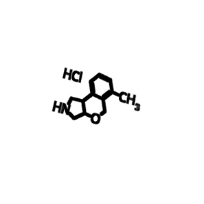 Cc1cccc2c1COC1CNCC21.Cl